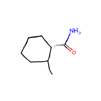 CC1CCCC[C@@H]1C(N)=O